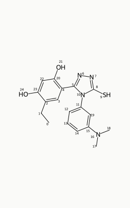 CCc1cc(-c2nnc(S)n2-c2cccc(N(C)C)c2)c(O)cc1O